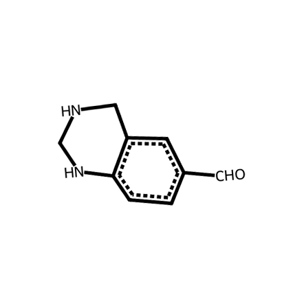 O=Cc1ccc2c(c1)CNCN2